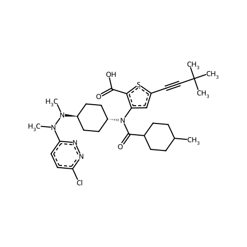 CC1CCC(C(=O)N(c2cc(C#CC(C)(C)C)sc2C(=O)O)[C@H]2CC[C@H](N(C)N(C)c3ccc(Cl)nn3)CC2)CC1